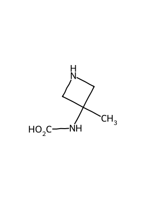 CC1(NC(=O)O)CNC1